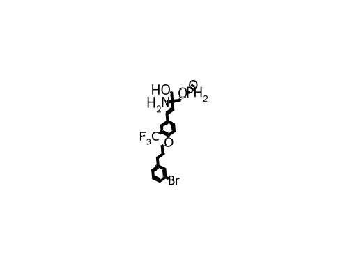 NC(C=Cc1ccc(OCCCc2cccc(Br)c2)c(C(F)(F)F)c1)(CO)CO[PH2]=O